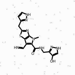 Cn1c(C(=O)NCc2n[nH]cc2O)c(C=N)c2sc(Cc3cc[nH]n3)nc21